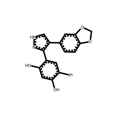 CC(C)c1cc(-c2n[nH]cc2-c2ccc3c(c2)OCO3)c(O)cc1O